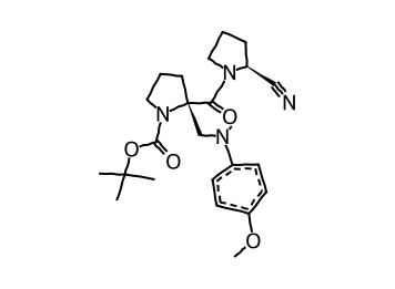 COc1ccc(N(C)C[C@]2(C(=O)N3CCC[C@H]3C#N)CCCN2C(=O)OC(C)(C)C)cc1